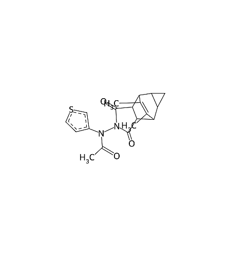 CC(=O)N(c1ccsc1)N1C(=O)C2C3C(C)=C(C)C(C4CC43)C2C1=O